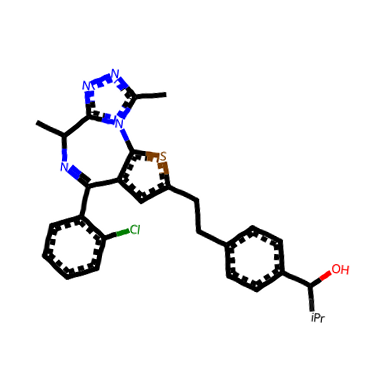 Cc1nnc2n1-c1sc(CCc3ccc(C(O)C(C)C)cc3)cc1C(c1ccccc1Cl)=NC2C